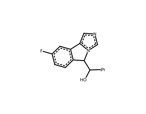 CC(C)C(O)C1c2ccc(F)cc2-c2cncn21